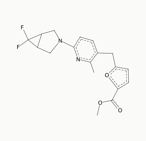 COC(=O)c1ccc(Cc2ccc(N3CC4C(C3)C4(F)F)nc2C)o1